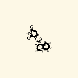 O=C1CC[C@@H](NC(=O)[C@@H]2CCNc3ccccc32)C(=O)N1